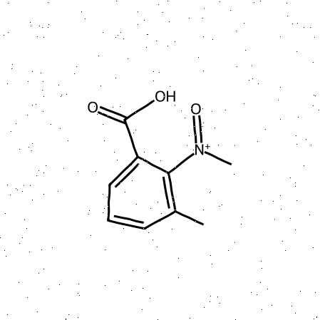 Cc1cccc(C(=O)O)c1[N+](C)=O